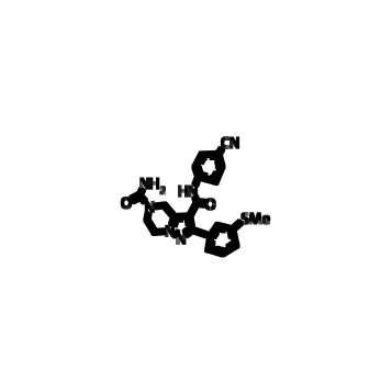 CSc1cccc(-c2nn3c(c2C(=O)Nc2ccc(C#N)cc2)CN(C(N)=O)CC3)c1